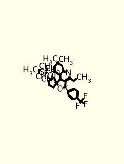 CCc1nc2c(c3c1[C@@H](c1ccc(C(F)(F)F)cc1)OC31CCCC1I)C(O[Si](C)(C)C(C)(C)C)CC(C)(C)C2